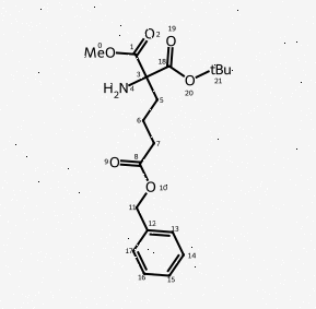 COC(=O)C(N)(CCCC(=O)OCc1ccccc1)C(=O)OC(C)(C)C